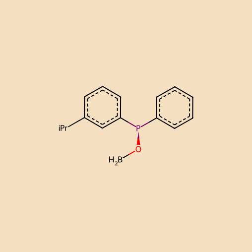 BO[P@](c1ccccc1)c1cccc(C(C)C)c1